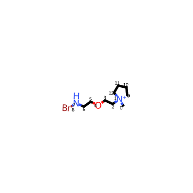 C[N+]1(CCOCCNBr)CCCC1